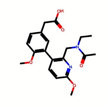 CCN(Cc1nc(OC)ccc1-c1cc(CC(=O)O)ccc1OC)C(C)=O